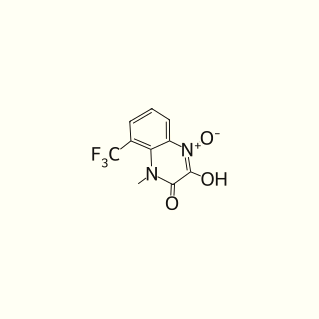 Cn1c(=O)c(O)[n+]([O-])c2cccc(C(F)(F)F)c21